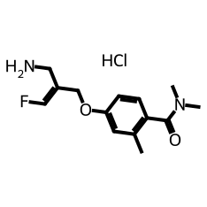 Cc1cc(OCC(=CF)CN)ccc1C(=O)N(C)C.Cl